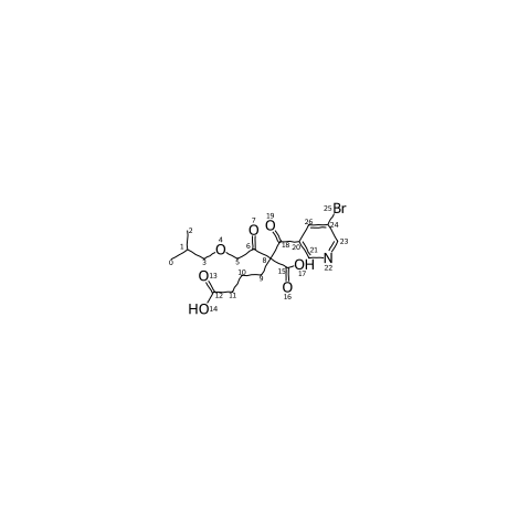 CC(C)COCC(=O)C(CCCC(=O)O)(C(=O)O)C(=O)c1cncc(Br)c1